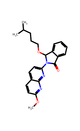 COc1ccc2ccc(N3C(=O)c4ccccc4C3OCCCC(C)C)nc2n1